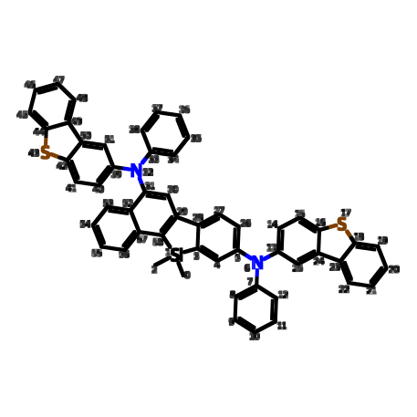 C[Si]1(C)c2cc(N(c3ccccc3)c3ccc4sc5ccccc5c4c3)ccc2-c2cc(N(c3ccccc3)c3ccc4sc5ccccc5c4c3)c3ccccc3c21